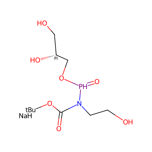 CC(C)(C)OC(=O)N(CCO)[PH](=O)OC[C@H](O)CO.[NaH]